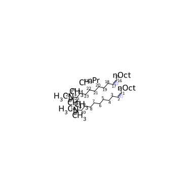 CCCCCCCC/C=C\CCCCCCCC[N+](C)(C)C.CCCCCCCC/C=C\CCCCCCCC[N+](C)(C)C.CCCCl